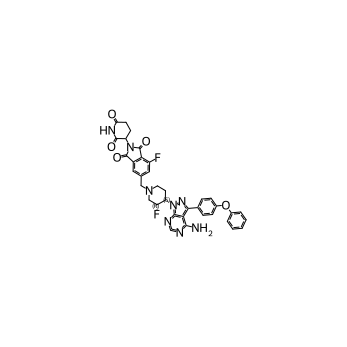 Nc1ncnc2c1c(-c1ccc(Oc3ccccc3)cc1)nn2[C@H]1CCN(Cc2cc(F)c3c(c2)C(=O)N(C2CCC(=O)NC2=O)C3=O)C[C@H]1F